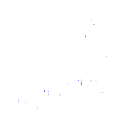 NC(=O)C(Cc1ccc2c(c1)CN(C1CCC(=O)NC1=O)C2=O)CC(F)(F)C(=O)N1CCC(n2cc(-c3cnc4ccccc4n3)cn2)CC1